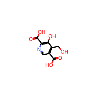 O=C(O)c1cnc(C(=O)O)c(O)c1CO